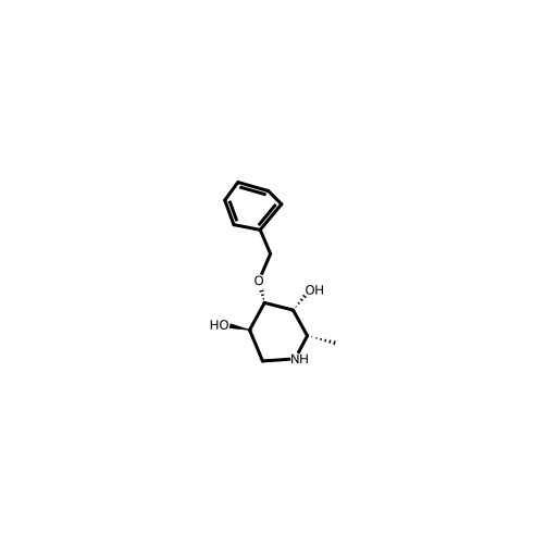 C[C@@H]1NC[C@@H](O)[C@H](OCc2ccccc2)[C@@H]1O